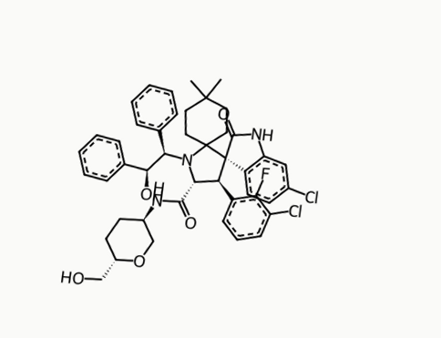 CC1(C)CCC2(CC1)N([C@H](c1ccccc1)[C@@H](O)c1ccccc1)[C@@H](C(=O)N[C@@H]1CC[C@@H](CO)OC1)[C@H](c1cccc(Cl)c1F)[C@]21C(=O)Nc2cc(Cl)ccc21